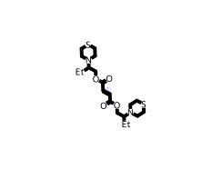 CCC(COC(=O)/C=C/C(=O)OCC(CC)N1CCSCC1)N1CCSCC1